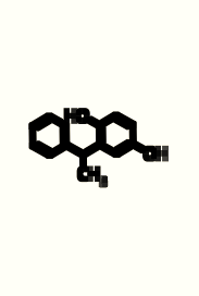 CC(c1ccccc1)c1cc(O)ccc1O